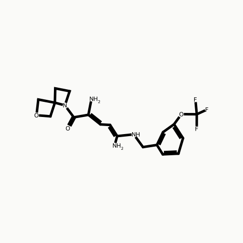 N/C(=C\C=C(/N)NCc1cccc(OC(F)(F)F)c1)C(=O)N1CCC12COC2